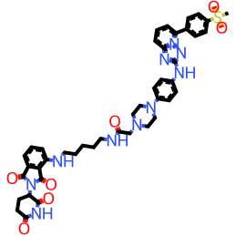 CS(=O)(=O)c1ccc(-c2cccc3nc(Nc4ccc(N5CCN(CC(=O)NCCCCCNc6cccc7c6C(=O)N(C6CCC(=O)NC6=O)C7=O)CC5)cc4)nn23)cc1